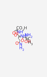 C[C@@H](O)[C@H](N)C(=O)N[C@@H](CCC(N)=O)C(=O)N[C@@H](CO)C(=O)O